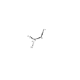 [CH2]C[C@H](C)F